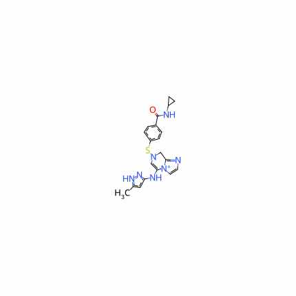 Cc1cc(NC2=CN(Sc3ccc(C(=O)NC4CC4)cc3)CC3=NC=C[N+]23)n[nH]1